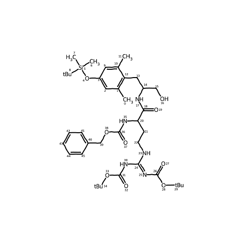 Cc1cc(O[Si](C)(C)C(C)(C)C)cc(C)c1CC(CO)NC(=O)C(CCN/C(=N\C(=O)OC(C)(C)C)NC(=O)OC(C)(C)C)NC(=O)OCc1ccccc1